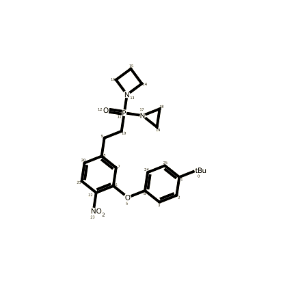 CC(C)(C)c1ccc(Oc2cc(CCP(=O)(N3CCC3)N3CC3)ccc2[N+](=O)[O-])cc1